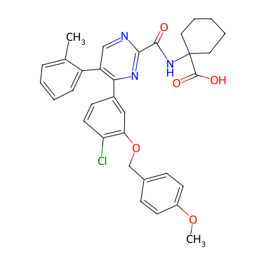 COc1ccc(COc2cc(-c3nc(C(=O)NC4(C(=O)O)CCCCC4)ncc3-c3ccccc3C)ccc2Cl)cc1